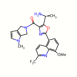 COc1ccc(-c2nc(C(=O)N3Cc4ccn(C)c4C3)c([C@H](C)N)o2)c2ccc(C(F)(F)F)nc12